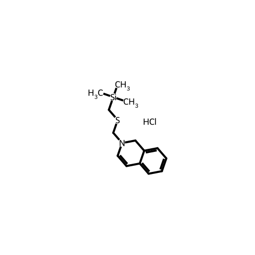 C[Si](C)(C)CSCN1C=Cc2ccccc2C1.Cl